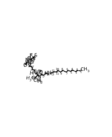 CCCCCCCCCCCCCCNCCCC(=O)N[C@H](C(=O)NCCCCN(OC(=O)C(F)(F)F)C(N)=O)C(C)C